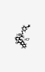 Cl.N#CC1CCN(CCNC(=O)c2cccn3c(=O)c4cc5ccccc5cc4nc23)CC1